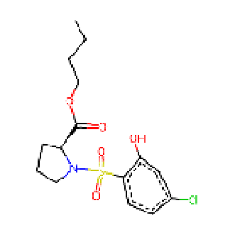 CCCCOC(=O)[C@@H]1CCCN1S(=O)(=O)c1ccc(Cl)cc1O